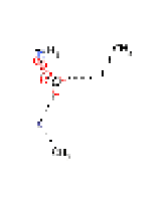 CCCCCCCC/C=C\CCCCCCCCOc1cc(OCCCCCCCC/C=C\CCCCCCCC)cc(C2OCC(COC(=O)CN(C)C)O2)c1